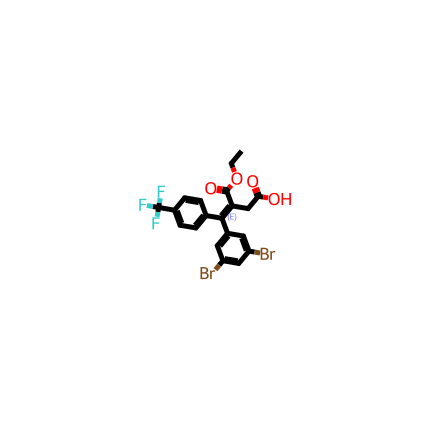 CCOC(=O)/C(CC(=O)O)=C(\c1ccc(C(F)(F)F)cc1)c1cc(Br)cc(Br)c1